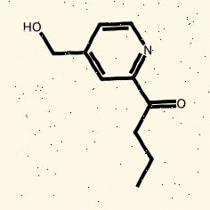 CCCC(=O)c1cc(CO)ccn1